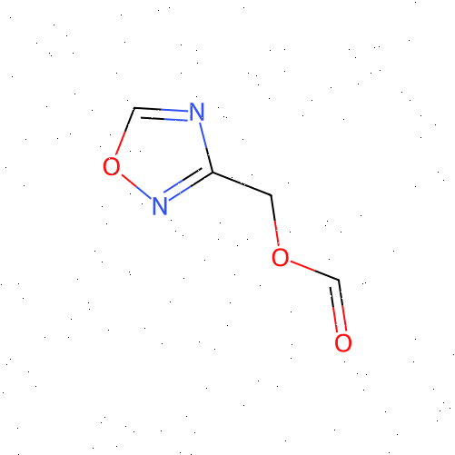 O=COCc1ncon1